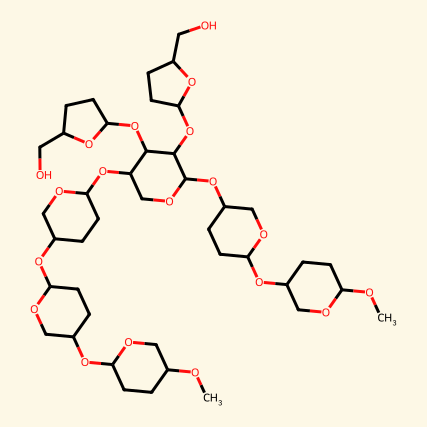 COC1CCC(OC2CCC(OC3CCC(OC4COC(OC5CCC(OC6CCC(OC)OC6)OC5)C(OC5CCC(CO)O5)C4OC4CCC(CO)O4)OC3)OC2)OC1